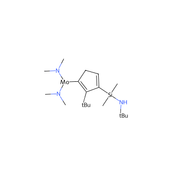 C[N](C)[Mo]([C]1=C(C(C)(C)C)C([Si](C)(C)NC(C)(C)C)=CC1)[N](C)C